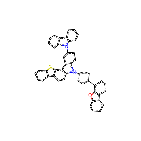 c1ccc2c(c1)oc1c(-c3ccc(-n4c5ccc(-n6c7ccccc7c7ccccc76)cc5c5c6sc7ccccc7c6ccc54)cc3)cccc12